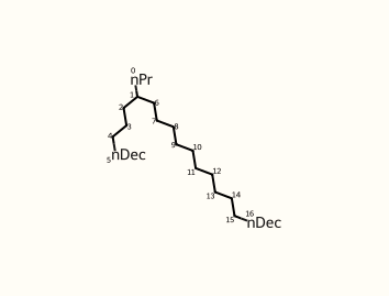 [CH2]CCC(CCCCCCCCCCCCC)CCCCCCCCCCCCCCCCCCCC